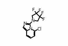 FC1(F)CN(c2ncc3cccc(Cl)n23)CC1(F)F